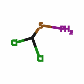 PSC(Cl)Cl